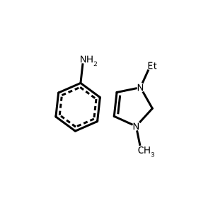 CCN1C=CN(C)C1.Nc1ccccc1